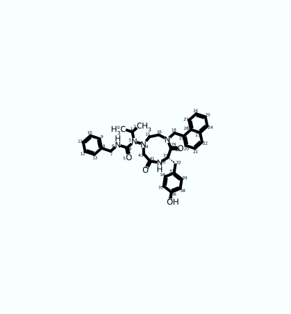 CC(C)N(C(=O)NCc1ccccc1)N1CCN(Cc2cccc3ccccc23)C(=O)[C@H](Cc2ccc(O)cc2)NC(=O)C1